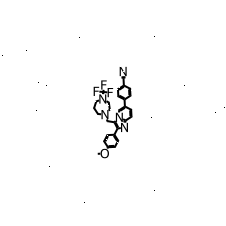 COc1ccc(-c2nc3ccc(-c4ccc(C#N)cc4)cn3c2CN2CCCN(C(F)(F)F)CC2)cc1